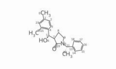 Cc1ccc([C@H](O)C2CCN([C@@H](C)c3ccccc3)C2=O)c(C)c1